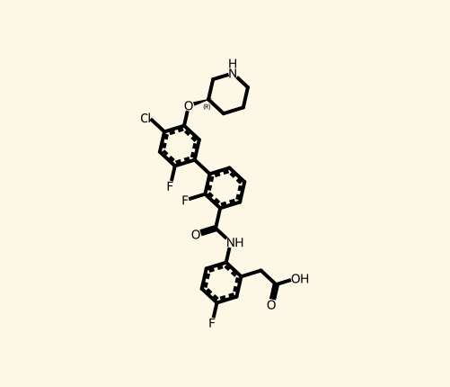 O=C(O)Cc1cc(F)ccc1NC(=O)c1cccc(-c2cc(O[C@@H]3CCCNC3)c(Cl)cc2F)c1F